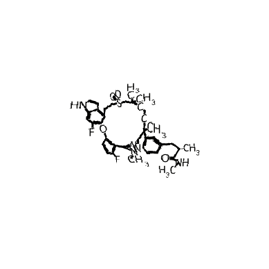 CNC(=O)[C@@H](C)Cc1cccc(C2(C)CCCC(C)(C)CS(=O)(=O)CCc3c(c(F)cc4[nH]ccc34)Oc3ccc(F)c(c3)-c3nc2nn3C)c1